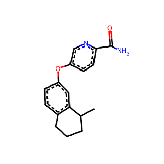 CC1CCCc2ccc(Oc3ccc(C(N)=O)nc3)cc21